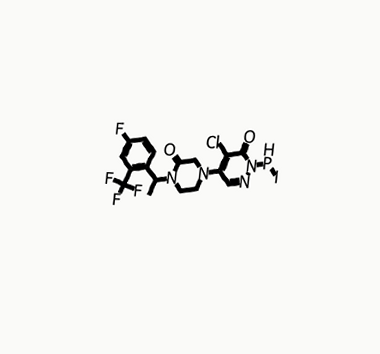 CC(c1ccc(F)cc1C(F)(F)F)N1CCN(c2cnn(PI)c(=O)c2Cl)CC1=O